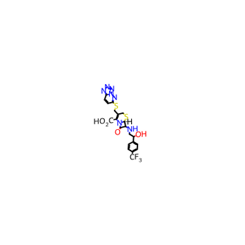 O=C(O)C1=C(CSc2ccc3nnnn3n2)CS[C@H]2C(NCC(O)c3ccc(C(F)(F)F)cc3)C(=O)N12